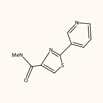 CNC(=O)c1csc(-c2cccnc2)n1